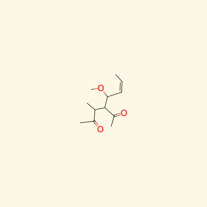 C/C=C\C(OC)C(C(C)=O)C(C)C(C)=O